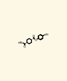 CCCCC(=O)[C@H]1CC[C@H](C(=O)Oc2ccc(CCC)cc2)CC1